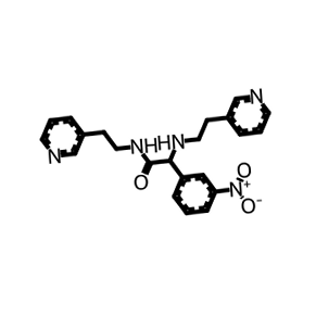 O=C(NCCc1cccnc1)C(NCCc1cccnc1)c1cccc([N+](=O)[O-])c1